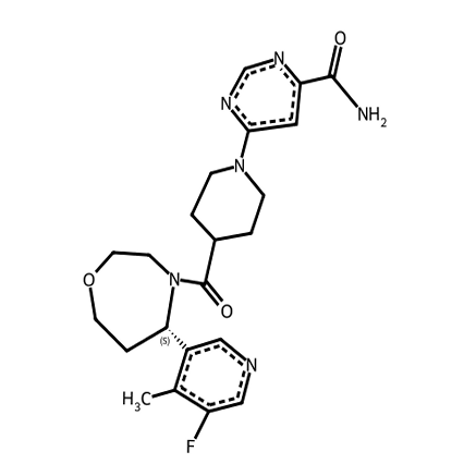 Cc1c(F)cncc1[C@@H]1CCOCCN1C(=O)C1CCN(c2cc(C(N)=O)ncn2)CC1